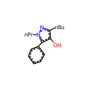 CCCCc1nn(CCC)c(-c2ccccc2)c1O